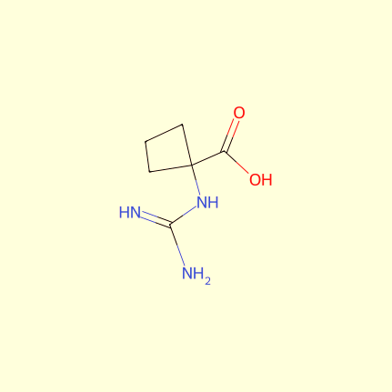 N=C(N)NC1(C(=O)O)CCC1